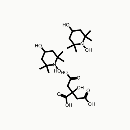 CC1(C)CC(O)CC(C)(C)N1O.CC1(C)CC(O)CC(C)(C)N1O.O=C(O)CC(O)(CC(=O)O)C(=O)O